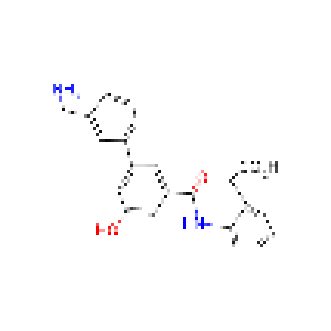 NCc1cccc(-c2cc(O)cc(C(=O)Nc3ccccc3CC(=O)O)c2)c1